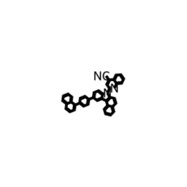 N#Cc1cc(-n2c3ccc(-c4ccc(-c5cccc6ccccc56)cc4)cc3c3c4ccccc4ccc32)nc2ccccc12